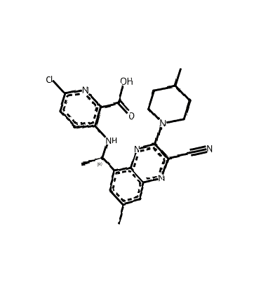 Cc1cc([C@@H](C)Nc2ccc(Cl)nc2C(=O)O)c2nc(N3CCC(C)CC3)c(C#N)nc2c1